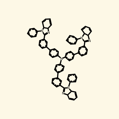 C1=CC2N=C(c3cccc(-c4ccc(N(c5ccc(-c6cccc(C7=NC8C=CC=CC8N7c7ccccc7)c6)cc5)c5ccc(-c6cccc(C7=NC8C=CC=CC8N7c7ccccc7)c6)cc5)cc4)c3)N(c3ccccc3)C2C=C1